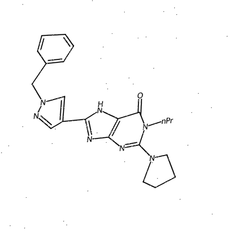 CCCn1c(N2CCCC2)nc2nc(-c3cnn(Cc4ccccc4)c3)[nH]c2c1=O